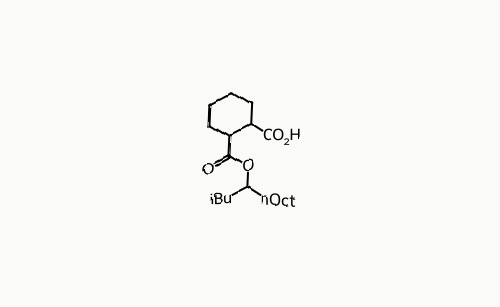 CCCCCCCCC(OC(=O)C1CCCCC1C(=O)O)C(C)CC